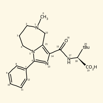 CN1CCCn2c(-c3ccccc3)nc(C(=O)N[C@H](C(=O)O)C(C)(C)C)c2C1